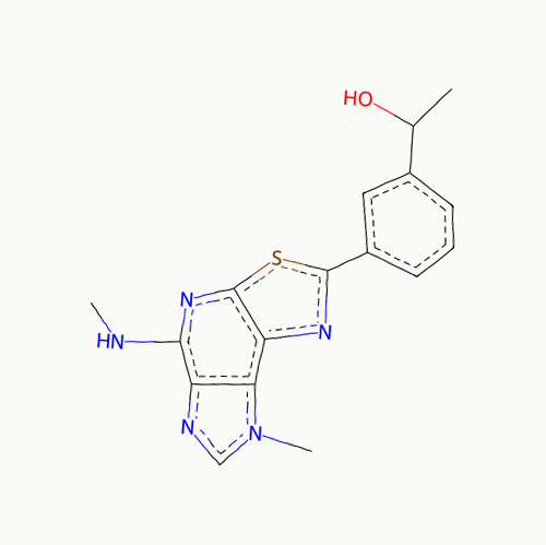 CNc1nc2sc(-c3cccc(C(C)O)c3)nc2c2c1ncn2C